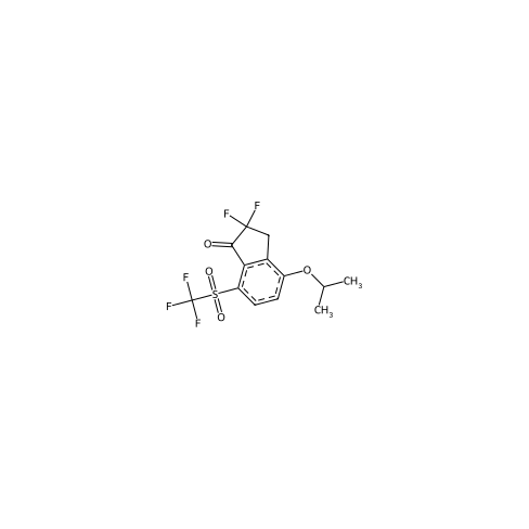 CC(C)Oc1ccc(S(=O)(=O)C(F)(F)F)c2c1CC(F)(F)C2=O